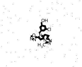 Cc1nnc2ccc3c(cc(-c4nnco4)n3Cc3cc(Cl)cc(CO)c3)n12